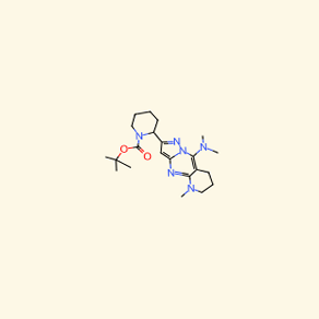 CN(C)c1c2c(nc3cc(C4CCCCN4C(=O)OC(C)(C)C)nn13)N(C)CCC2